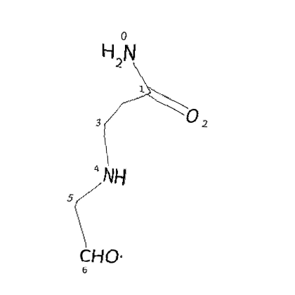 NC(=O)CNC[C]=O